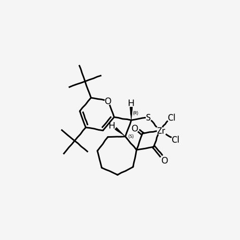 CC(C)(C)C1=CC(C(C)(C)C)OC([C@@H]2[S][Zr]3([Cl])([Cl])[C](=O)C4(CCCCC[C@H]24)[C]3=O)=C1